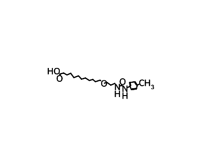 Cc1ccc(NC(=O)NCCCOCCCCCCCCCCCC(=O)O)cc1